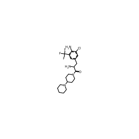 Nc1c(Cl)cc(CC(N)C(=O)N2CCC(N3CCCCC3)CC2)cc1C(F)(F)F